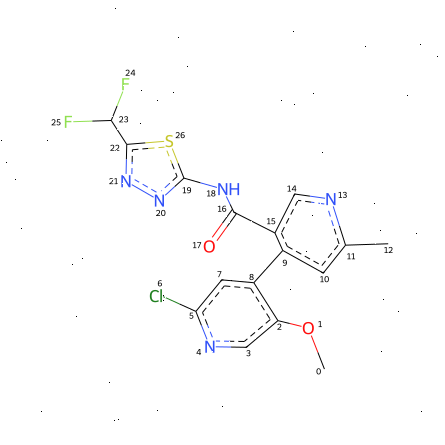 COc1cnc(Cl)cc1-c1cc(C)ncc1C(=O)Nc1nnc(C(F)F)s1